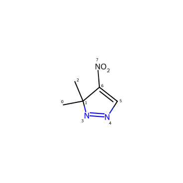 CC1(C)N=NC=C1[N+](=O)[O-]